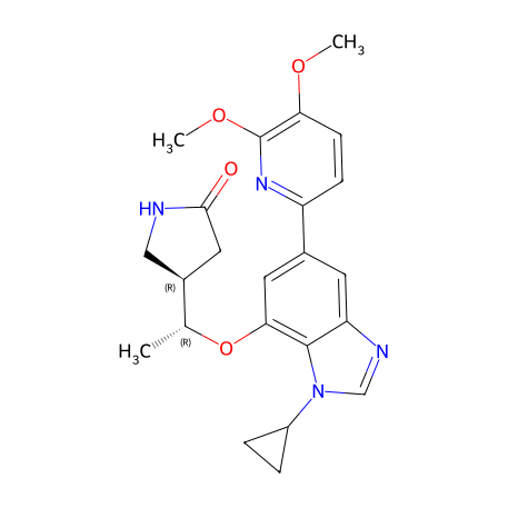 COc1ccc(-c2cc(O[C@H](C)[C@H]3CNC(=O)C3)c3c(c2)ncn3C2CC2)nc1OC